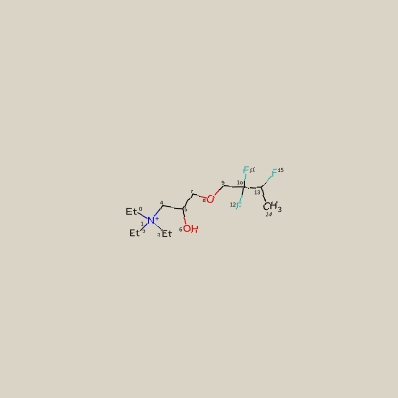 CC[N+](CC)(CC)CC(O)COCC(F)(F)C(C)F